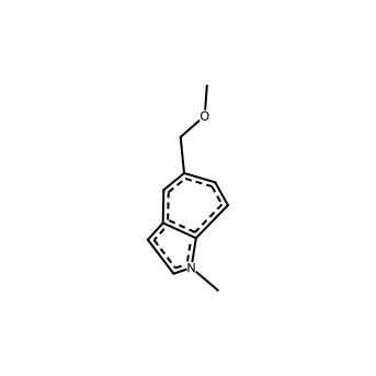 COCc1ccc2c(ccn2C)c1